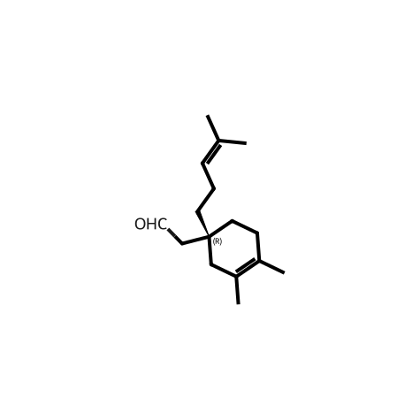 CC(C)=CCC[C@@]1(CC=O)CCC(C)=C(C)C1